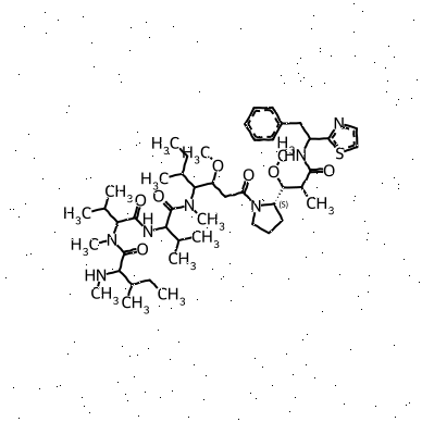 CCC(C)C(NC)C(=O)N(C)C(C(=O)NC(C(=O)N(C)C(C(C)CC)C(CC(=O)N1CCC[C@H]1C(OC)C(C)C(=O)NC(Cc1ccccc1)c1nccs1)OC)C(C)C)C(C)C